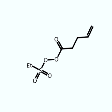 C=CCCC(=O)OOS(=O)(=O)CC